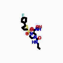 CCCNC(=O)N1CCN(S(=O)(=O)c2ccc(-c3ccc(F)cc3)s2)[C@@H](C(=O)NO)C1